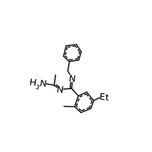 CCc1ccc(C)c(C(=N/Cc2ccccc2)/N=C(\C)N)c1